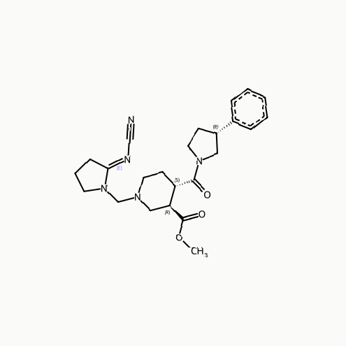 COC(=O)[C@H]1CN(CN2CCC/C2=N\C#N)CC[C@@H]1C(=O)N1CC[C@H](c2ccccc2)C1